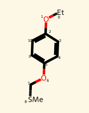 CCOc1ccc(OCSC)cc1